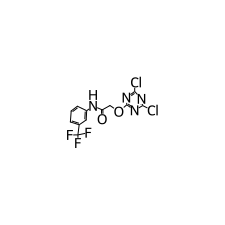 O=C(COc1nc(Cl)nc(Cl)n1)Nc1cccc(C(F)(F)F)c1